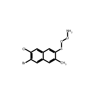 Cc1cc2cc(Br)c(Cl)cc2cc1SOON